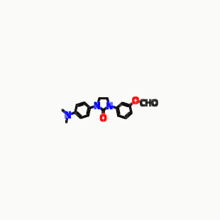 CN(C)c1ccc(N2CCN(c3cccc(OC=O)c3)C2=O)cc1